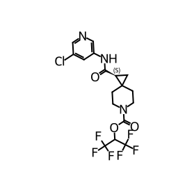 O=C(Nc1cncc(Cl)c1)[C@H]1CC12CCN(C(=O)OC(C(F)(F)F)C(F)(F)F)CC2